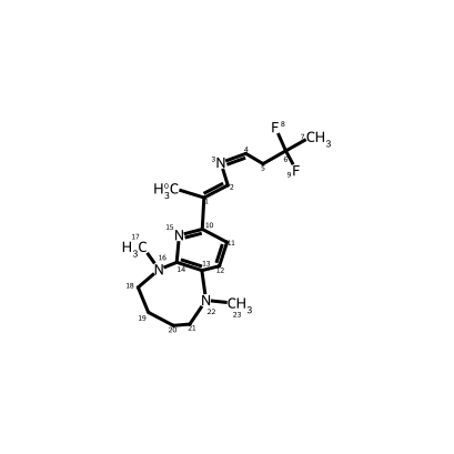 C/C(=C\N=C/CC(C)(F)F)c1ccc2c(n1)N(C)CCCCN2C